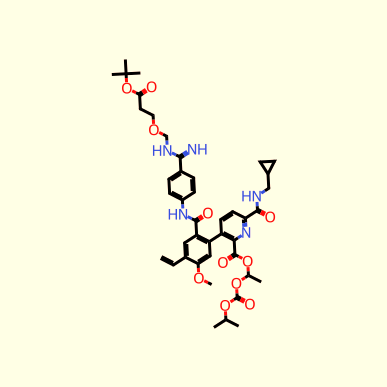 C=Cc1cc(C(=O)Nc2ccc(C(=N)NCOCCC(=O)OC(C)(C)C)cc2)c(-c2ccc(C(=O)NCC3CC3)nc2C(=O)OC(C)OC(=O)OC(C)C)cc1OC